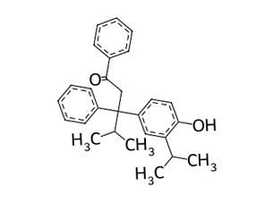 CC(C)c1cc(C(CC(=O)c2ccccc2)(c2ccccc2)C(C)C)ccc1O